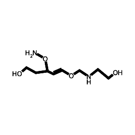 NOC(C=COCNCCO)CCO